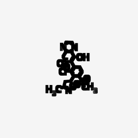 CC1=NOC(c2c(S(C)(=O)=O)ccc(C3=C(O)c4nccnc4CS3(=O)=O)c2Cl)C1